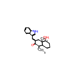 CC1C(=O)C(=Cc2c[nH]c3ccccc23)C[C@@]2(C)C1CCC[C@@H]2O